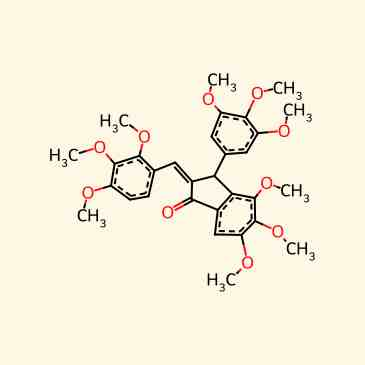 COc1cc(C2/C(=C/c3ccc(OC)c(OC)c3OC)C(=O)c3cc(OC)c(OC)c(OC)c32)cc(OC)c1OC